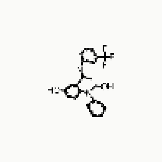 CC(=Nc1cccc(C(F)(F)F)c1)c1cc(O)ccc1N(CO)c1ccccc1